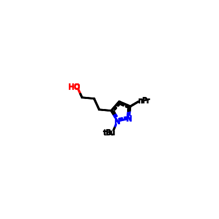 CCCc1cc(CCCO)n(C(C)(C)C)n1